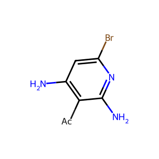 CC(=O)c1c(N)cc(Br)nc1N